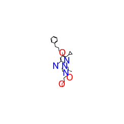 COCCC(=O)N1CCN(c2nc(C3CC3)c(OCCCc3ccccc3)cc2C#N)C[C@H]1C